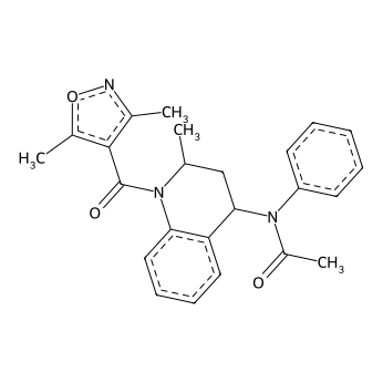 CC(=O)N(c1ccccc1)C1CC(C)N(C(=O)c2c(C)noc2C)c2ccccc21